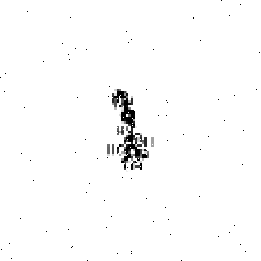 CO[C@H]1OC(CO)[C@@H](O)C(OC(=O)NCc2ccc(-c3nnc(C)nn3)cc2)C1O